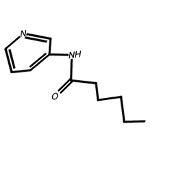 CCCCCC(=O)Nc1cccnc1